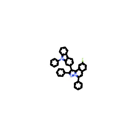 Fc1ccc2cc(-c3ccccc3)n3nc(-c4ccccc4)c(-c4ccc5c6ccccc6n(-c6ccccc6)c5c4)c3c2c1